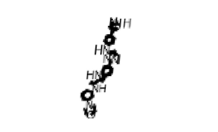 C=C(NC1CCCC(N2CCOCC2)C1)c1cc2ccc(-c3nccc(Nc4ccc(-c5cn[nH]c5)cc4)n3)cc2[nH]1